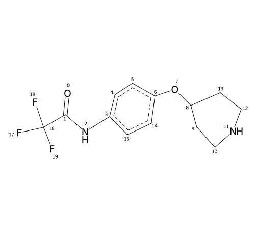 O=C(Nc1ccc(OC2CCNCC2)cc1)C(F)(F)F